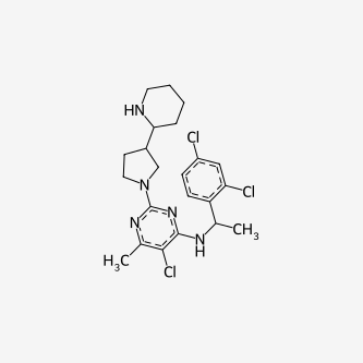 Cc1nc(N2CCC(C3CCCCN3)C2)nc(NC(C)c2ccc(Cl)cc2Cl)c1Cl